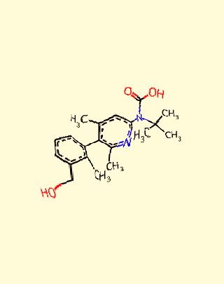 Cc1cc(N(C(=O)O)C(C)(C)C)nc(C)c1-c1cccc(CO)c1C